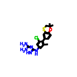 Cc1cc(NC(=N)N=C(N)N)cc(Cl)c1-c1ccc2c(c1)SCC(C)(C)O2